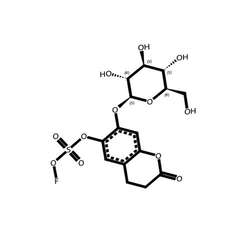 O=C1CCc2cc(OS(=O)(=O)OF)c(O[C@@H]3O[C@H](CO)[C@@H](O)[C@H](O)[C@H]3O)cc2O1